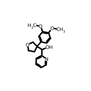 COc1ccc(C2(C(O)c3ccccn3)CCOC2)cc1OC